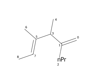 C=C(CCC)C(C)C(C)=CC